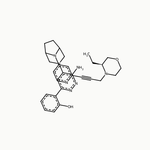 CC[C@H]1COCCN1CC#Cc1cc(N2C3CCC2CN(c2cc(-c4ccccc4O)nnc2N)C3)ccn1